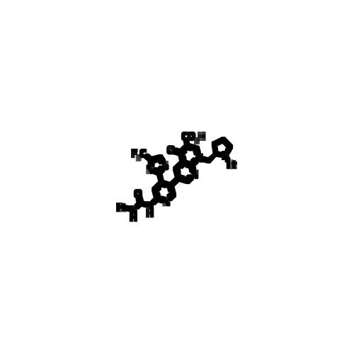 CCNC(=O)Nc1cc(-c2nc(C(F)(F)F)cs2)c(-c2cnc3c(c2)c(=O)c(C(=O)O)cn3C[C@H]2CCCN2CC)cn1